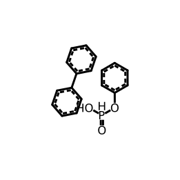 O=[PH](O)Oc1ccccc1.c1ccc(-c2ccccc2)cc1